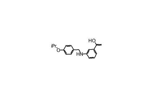 C=C(O)c1cccc(NCc2ccc(OC(C)C)cc2)c1